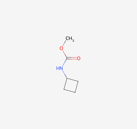 COC(=O)NC1CCC1